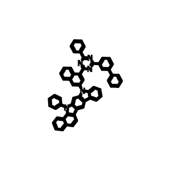 c1ccc(-c2cccc(-c3nc(-c4ccccc4)nc(-c4cc(-n5c6ccccc6c6cc7c8ccc9ccccc9c8n(-c8ccccc8)c7cc65)cc5ccccc45)n3)c2)cc1